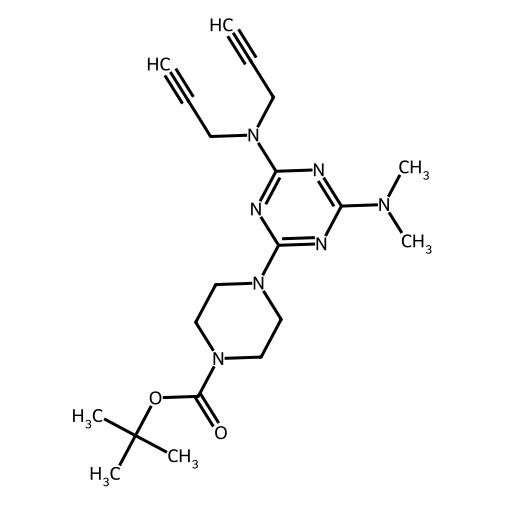 C#CCN(CC#C)c1nc(N(C)C)nc(N2CCN(C(=O)OC(C)(C)C)CC2)n1